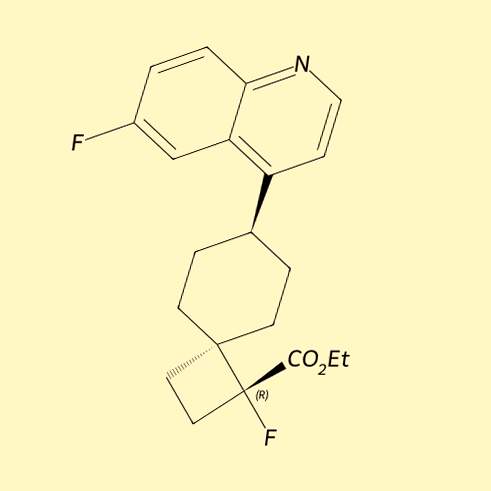 CCOC(=O)[C@@]1(F)CC[C@]12CC[C@H](c1ccnc3ccc(F)cc31)CC2